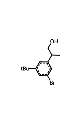 C[C](CO)c1cc(Br)cc(C(C)(C)C)c1